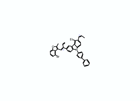 C=C/C(=C\c1c(C)oc2cccc(Br)c12)c1ccc2c(c1)c1c(CC)c(/C=C\C)ccc1n2-c1ccc(-c2ccccc2)cc1